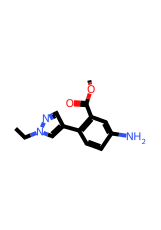 CCn1cc(-c2ccc(N)cc2C(=O)OC)cn1